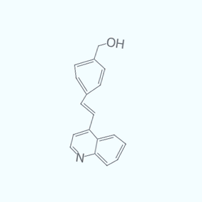 OCc1ccc(C=Cc2ccnc3ccccc23)cc1